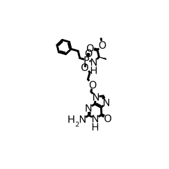 COC(=O)[C@@H](C)NP(=O)(CCc1ccccc1)OCCOCn1cnc2c(=O)[nH]c(N)nc21